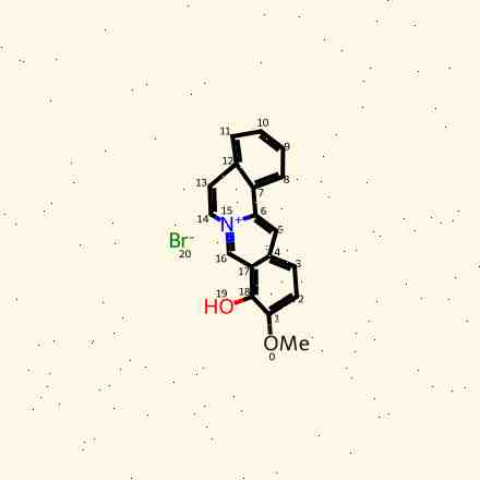 COc1ccc2cc3c4ccccc4cc[n+]3cc2c1O.[Br-]